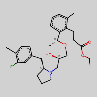 CCOC(=O)CCc1c(C)cccc1[C@@H](C)OC[C@H](O)CN1CCC[C@H]1Cc1ccc(C)c(F)c1